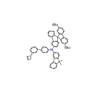 CC(C)(C)c1ccc2c(c1)C1(c3ccccc3-c3cc(N(c4ccc(-c5cccc(C6C=CC6)c5)cc4)c4ccc5c(c4)-c4ccccc4C5(C)C)ccc31)c1cc(C(C)(C)C)ccc1-2